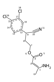 C/C(N)=C/C(=O)OCCC(C#N)c1ccc(Cl)c(Cl)c1